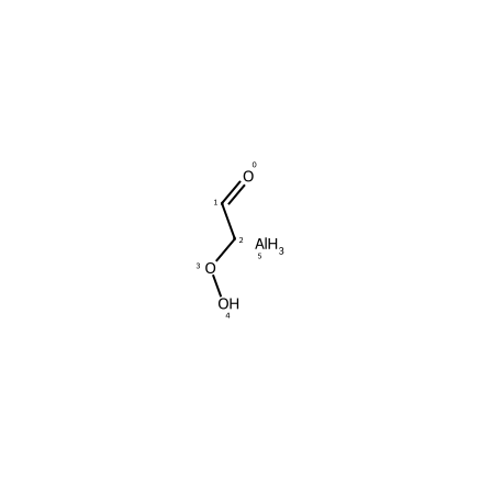 O=CCOO.[AlH3]